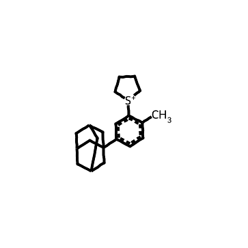 Cc1ccc(C23CC4CC(CC(C4)C2)C3)cc1[S+]1CCCC1